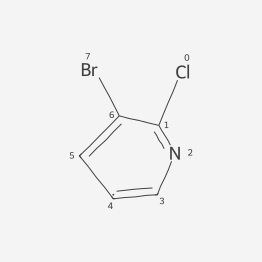 Clc1nc[c]cc1Br